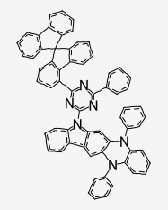 c1ccc(-c2nc(-c3cccc4c3-c3ccccc3C43c4ccccc4-c4ccccc43)nc(-n3c4ccccc4c4cc5c(cc43)N(c3ccccc3)c3ccccc3N5c3ccccc3)n2)cc1